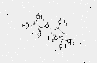 C=C(C)C(=O)OCC(C)CC(C)(O)C(F)(F)F